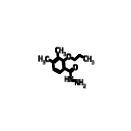 CCCOc1c(C(=O)NN)ccc(C)c1C